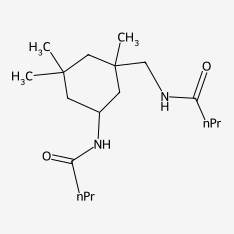 CCCC(=O)NCC1(C)CC(NC(=O)CCC)CC(C)(C)C1